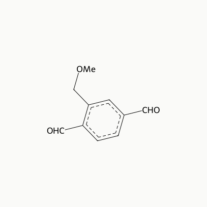 COCc1cc(C=O)ccc1C=O